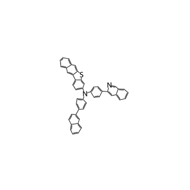 c1ccc2cc(-c3ccc(N(c4ccc(-c5cc6ccccc6cn5)cc4)c4ccc5c(c4)sc4cc6ccccc6cc45)cc3)ccc2c1